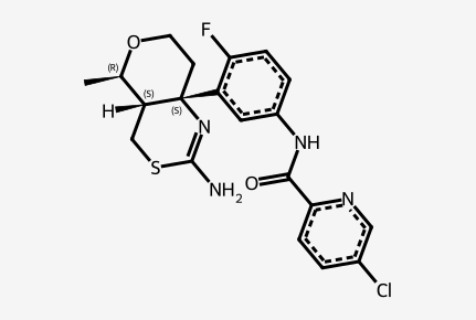 C[C@H]1OCC[C@]2(c3cc(NC(=O)c4ccc(Cl)cn4)ccc3F)N=C(N)SC[C@H]12